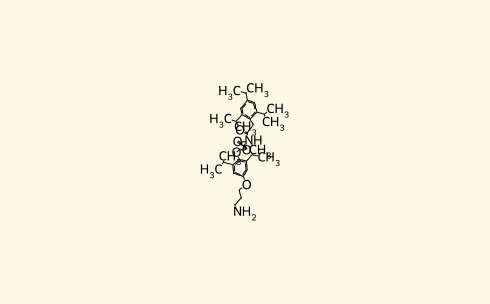 CC(C)c1cc(C(C)C)c(CC(=O)NS(=O)(=O)Oc2c(C(C)C)cc(OCCCN)cc2C(C)C)c(C(C)C)c1